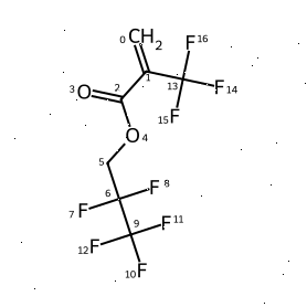 C=C(C(=O)OCC(F)(F)C(F)(F)F)C(F)(F)F